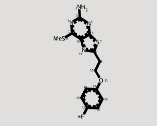 CSc1nc(N)nc2sc(CCOc3ccc(F)cc3)nc12